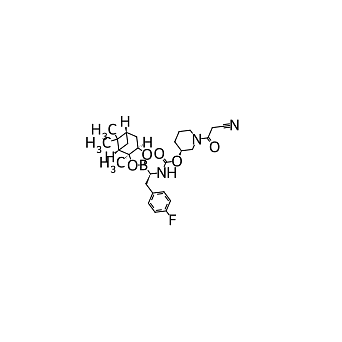 CC1(C)[C@@H]2C[C@H]3OB([C@H](Cc4ccc(F)cc4)NC(=O)O[C@H]4CCCN(C(=O)CC#N)C4)O[C@@]3(C)[C@H]1C2